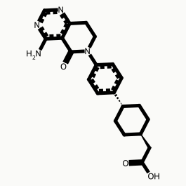 Nc1ncnc2c1C(=O)N(c1ccc([C@H]3CC[C@H](CC(=O)O)CC3)cc1)CC2